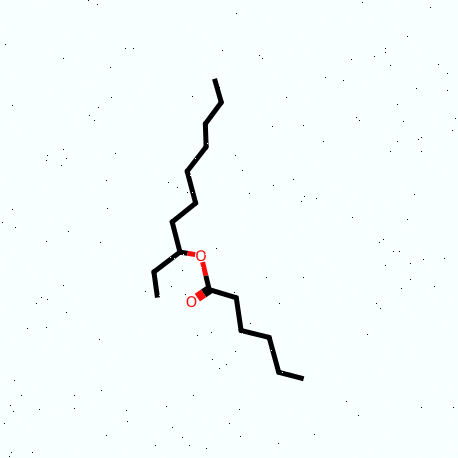 CCCCCCCC(CC)OC(=O)CCCCC